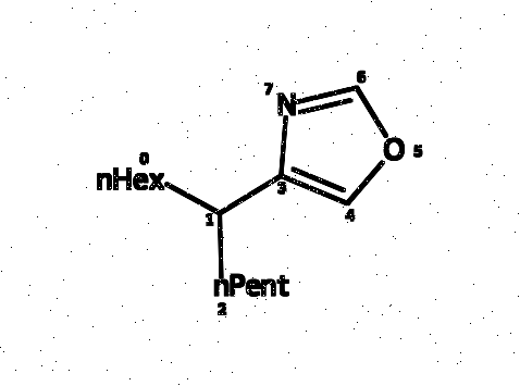 CCCCCCC(CCCCC)c1cocn1